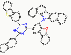 c1ccc2cc(C3=NC(c4cc(-n5c6cc7ccccc7cc6c6ccc7ccccc7c65)c5oc6ccccc6c5c4)=NC(c4ccc5c(c4)sc4ccccc45)N3)ccc2c1